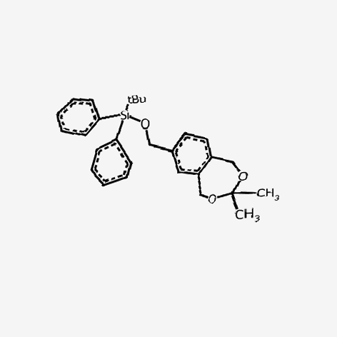 CC1(C)OCc2ccc(CO[Si](c3ccccc3)(c3ccccc3)C(C)(C)C)cc2CO1